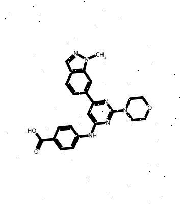 Cn1ncc2ccc(-c3cc(Nc4ccc(C(=O)O)cc4)nc(N4CCOCC4)n3)cc21